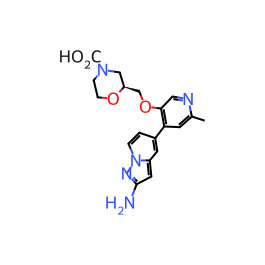 Cc1cc(-c2ccn3nc(N)cc3c2)c(OC[C@@H]2CN(C(=O)O)CCO2)cn1